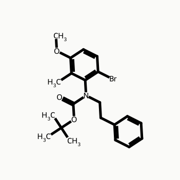 COc1ccc(Br)c(N(CCc2ccccc2)C(=O)OC(C)(C)C)c1C